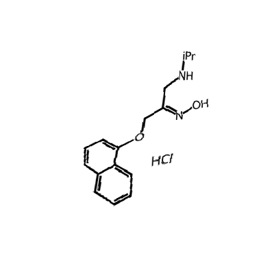 CC(C)NCC(COc1cccc2ccccc12)=NO.Cl